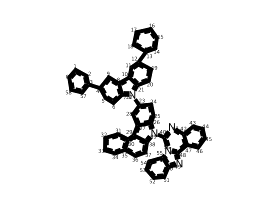 c1ccc(-c2ccc3c(c2)c2cc(-c4ccccc4)ccc2n3-c2ccc3c(c2)c2c4ccccc4ccc2n3-c2nc3ccccc3c3nc4ccccc4n23)cc1